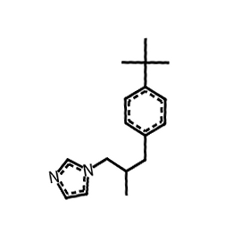 CC(Cc1ccc(C(C)(C)C)cc1)Cn1ccnc1